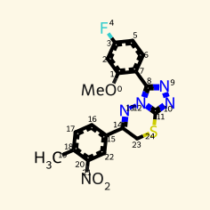 COc1cc(F)ccc1-c1nnc2n1N=C(c1ccc(C)c([N+](=O)[O-])c1)CS2